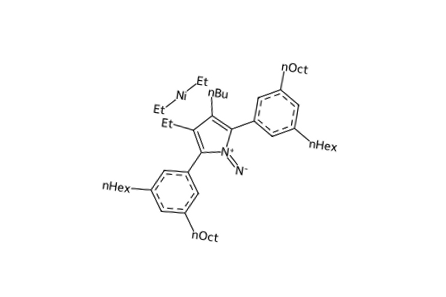 CCCCCCCCc1cc(CCCCCC)cc(C2=C(CC)C(CCCC)=C(c3cc(CCCCCC)cc(CCCCCCCC)c3)[N+]2=[N-])c1.C[CH2][Ni][CH2]C